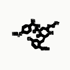 CC[C@@H](NC(=O)N1C/C(=N/OC(C)C)NC[C@@H](Cc2cc(Cl)ccc2OC)C1=O)c1ccc(C(=O)O)cc1